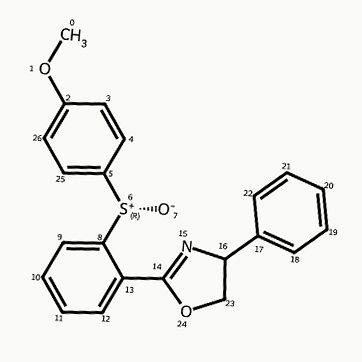 COc1ccc([S@+]([O-])c2ccccc2C2=NC(c3ccccc3)CO2)cc1